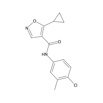 Cc1cc(NC(=O)c2cnoc2C2CC2)ccc1Cl